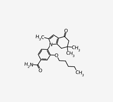 CCCCCOc1cc(C(N)=O)ccc1-n1c(C)cc2c1CC(C)(C)CC2=O